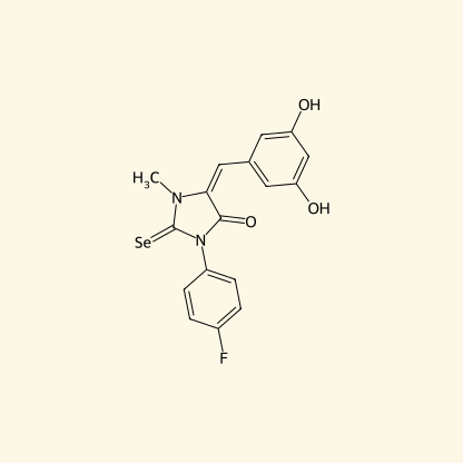 CN1C(=[Se])N(c2ccc(F)cc2)C(=O)C1=Cc1cc(O)cc(O)c1